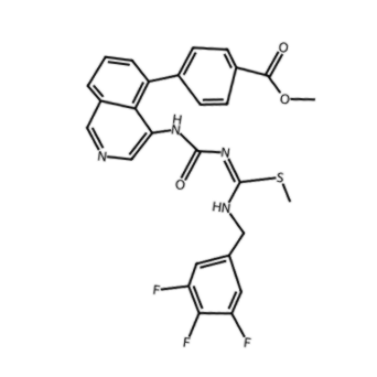 COC(=O)c1ccc(-c2cccc3cncc(NC(=O)/N=C(\NCc4cc(F)c(F)c(F)c4)SC)c23)cc1